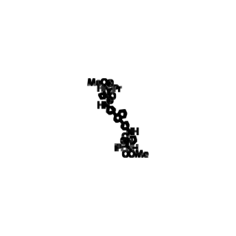 COC(=O)N[C@H](C(=O)N1CCC[C@H]1C(=O)Nc1ccc(-c2ccc(-c3ccc(NC(=O)[C@@H]4CCCN4C(=O)[C@@H](NC(=O)OC)C(C)C)cc3)c3c2C=C=C=C3)cc1)C(C)C